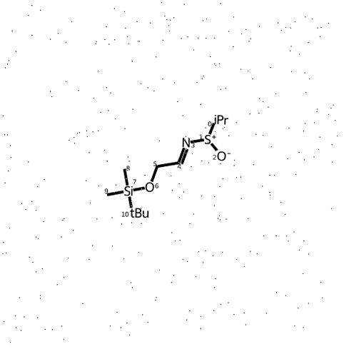 CC(C)[S+]([O-])N=CCO[Si](C)(C)C(C)(C)C